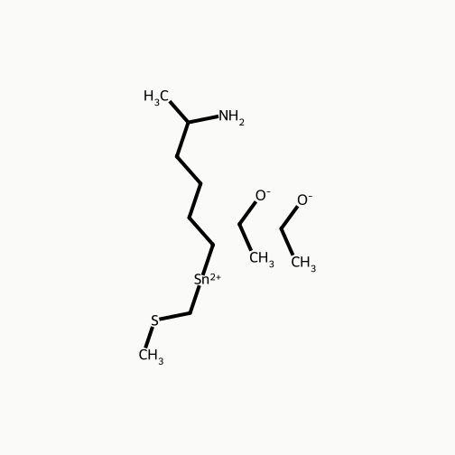 CC[O-].CC[O-].CS[CH2][Sn+2][CH2]CCCC(C)N